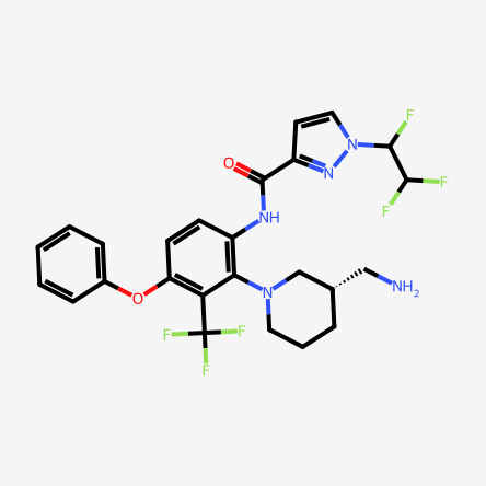 NC[C@@H]1CCCN(c2c(NC(=O)c3ccn(C(F)C(F)F)n3)ccc(Oc3ccccc3)c2C(F)(F)F)C1